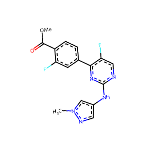 COC(=O)c1ccc(-c2nc(Nc3cnn(C)c3)ncc2F)cc1F